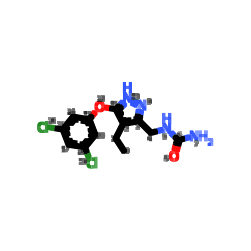 CCc1c(CNC(N)=O)n[nH]c1Oc1cc(Cl)cc(Cl)c1